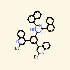 CCc1cc(-c2cc(C3=CC(CC)Nc4ccccc43)cc(C3NC(c4cccc5ccccc45)=NC(c4cccc5ccccc45)N3)c2)c2ccccc2n1